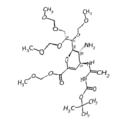 C=C(NC(=O)OC(C)(C)C)N[C@H]1C=C(C(=O)OCOC)O[C@@H]([C@H](OCOC)[C@@H](COCOC)OCOC)[C@@H]1N